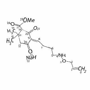 C=CCONCCCC=C1C(=O)CC(C)(C)C(C(=O)OC)C1=O.[NaH]